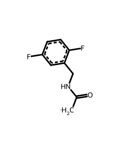 [CH2]C(=O)NCc1cc(F)ccc1F